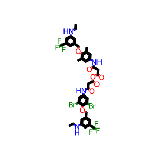 CCNc1cc(COc2c(C)cc(NC(=O)CC(=O)OC(=O)CC(=O)Nc3cc(Br)c(OCc4cc(NCC)cc(C(F)(F)F)c4)c(Br)c3)cc2C)cc(C(F)(F)F)c1